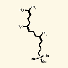 CCC[CH2][Sn]([CH2]CCC)([CH2]CCC)[CH2]OCC=C(C)CCC=C(C)CCC=C(C)C